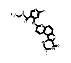 C[C@@H]1CNc2c(sc3ccc4nc(Nc5cc(Cl)ncc5C(=O)NCP)ccc4c23)C(=O)N1